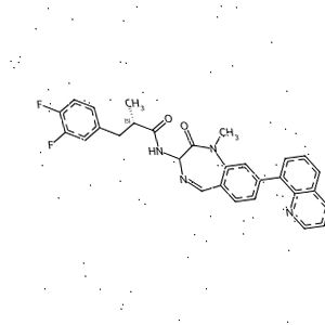 C[C@@H](Cc1ccc(F)c(F)c1)C(=O)NC1N=Cc2ccc(-c3cccc4cccnc34)cc2N(C)C1=O